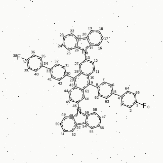 Fc1ccc(-c2ccc(-c3c4ccc(-n5c6ccccc6c6ccccc65)cc4c(-c4ccc(-c5ccc(F)cc5)cc4)c4ccc(-n5c6ccccc6c6ccccc65)cc34)cc2)cc1